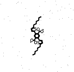 CCCCCCc1ccc(-c2cc(C(=O)OC)c(-c3ccc(CCCCCC)s3)cc2C(=O)OC)s1